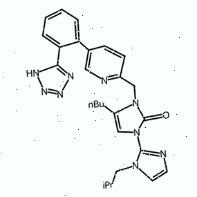 CCCCc1cn(-c2nccn2CC(C)C)c(=O)n1Cc1ccc(-c2ccccc2-c2nnn[nH]2)cn1